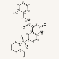 CCC1CCCCN1S(=O)(=O)c1ccc2[nH]c(=O)cc(C(=O)NCc3ccccc3Cl)c2c1